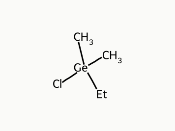 C[CH2][Ge]([CH3])([CH3])[Cl]